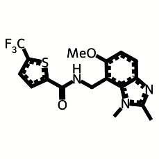 COc1ccc2nc(C)n(C)c2c1CNC(=O)c1ccc(C(F)(F)F)s1